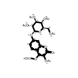 CCCCCCCCOc1c(OC(C)=O)c(=O)oc2cc(O[C@@H]3O[C@H](COC(C)=O)[C@H](OC(C)=O)[C@H](OC(C)=O)[C@H]3OC(C)=O)ccc12